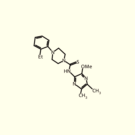 CCc1ccccc1N1CCN(C(=S)Nc2nc(C)c(C)nc2OC)CC1